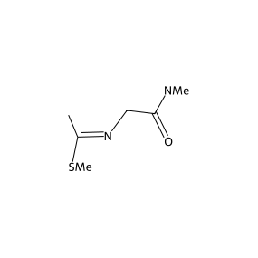 CNC(=O)CN=C(C)SC